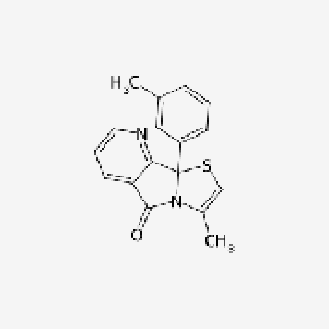 CC1=CSC2(c3cccc(C)c3)c3ncccc3C(=O)N12